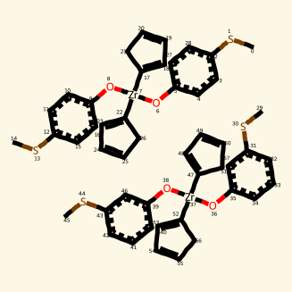 CSc1ccc([O][Zr]([O]c2ccc(SC)cc2)([C]2=CC=CC2)[C]2=CC=CC2)cc1.CSc1cccc([O][Zr]([O]c2cccc(SC)c2)([C]2=CC=CC2)[C]2=CC=CC2)c1